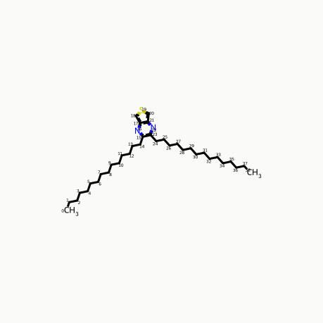 CCCCCCCCCCCCCCCc1nc2cscc2nc1CCCCCCCCCCCCCCC